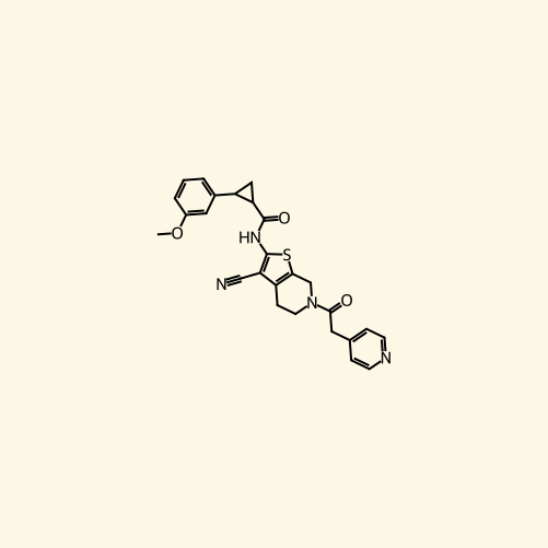 COc1cccc(C2CC2C(=O)Nc2sc3c(c2C#N)CCN(C(=O)Cc2ccncc2)C3)c1